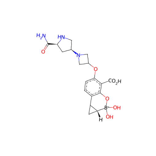 NC(=O)[C@@H]1C[C@H](N2CC(Oc3ccc4c(c3C(=O)O)O[B-](O)(O)[C@@H]3CC43)C2)CN1